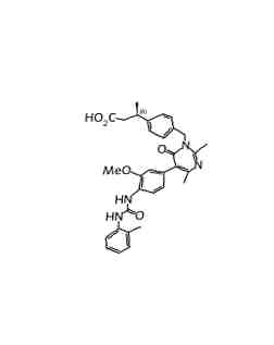 COc1cc(-c2c(C)nc(C)n(Cc3ccc([C@H](C)CC(=O)O)cc3)c2=O)ccc1NC(=O)Nc1ccccc1C